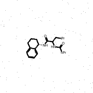 CCCC(=O)NC(CC(C)C)C(=O)N[C@H]1CCCc2ccccc21